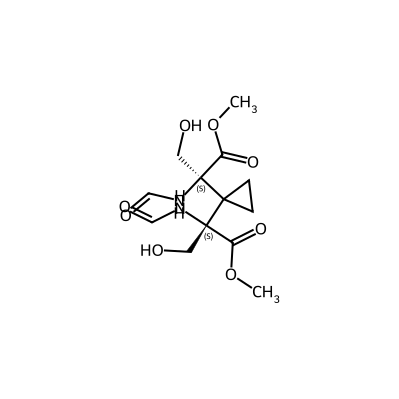 COC(=O)[C@](CO)(NC=O)C1([C@@](CO)(NC=O)C(=O)OC)CC1